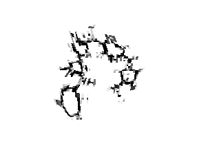 Cc1cc(-c2cnc(Nc3cnc(CN4CCC(N(C)C)C4)cn3)s2)nc(NC2CCCCC2)n1